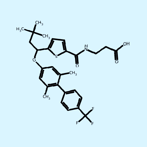 Cc1cc(OC(CC(C)(C)C)c2ccc(C(=O)NCCC(=O)O)s2)cc(C)c1-c1ccc(C(F)(F)F)cc1